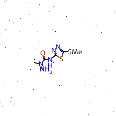 CSc1nnc(NC(=O)N(C)N)s1